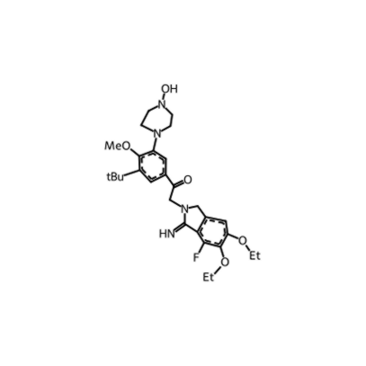 CCOc1cc2c(c(F)c1OCC)C(=N)N(CC(=O)c1cc(N3CCN(O)CC3)c(OC)c(C(C)(C)C)c1)C2